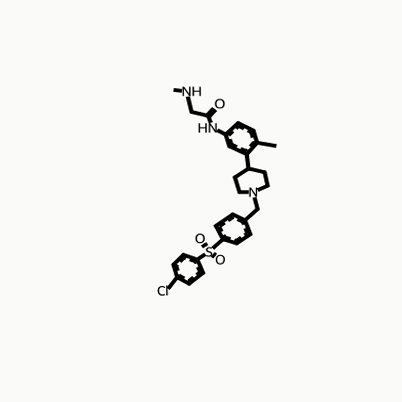 CNCC(=O)Nc1ccc(C)c(C2CCN(Cc3ccc(S(=O)(=O)c4ccc(Cl)cc4)cc3)CC2)c1